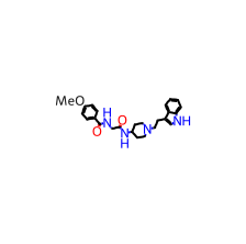 COc1ccc(C(=O)NCC(=O)NC2CCN(CCc3c[nH]c4ccccc34)CC2)cc1